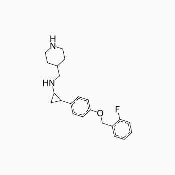 Fc1ccccc1COc1ccc(C2CC2NCC2CCNCC2)cc1